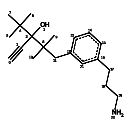 C#CC(O)(C(C)(C)C)C(C)(C)Cc1cccc(CCCN)c1